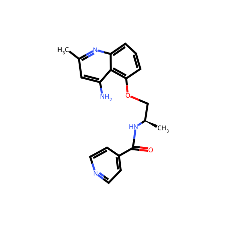 Cc1cc(N)c2c(OC[C@@H](C)NC(=O)c3ccncc3)cccc2n1